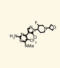 CNc1nc(N)nc(-c2cnn(C3CCN(C4COC4)CC3F)c2Cl)c1C(F)(F)F